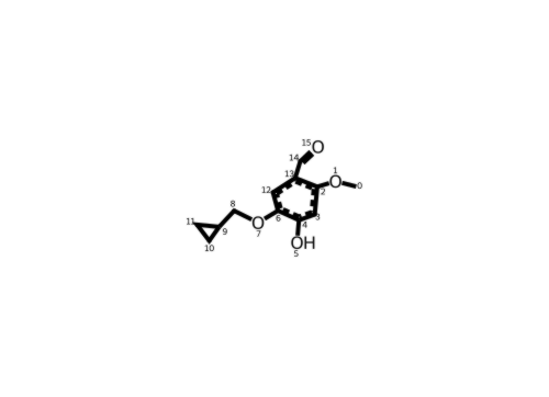 COc1cc(O)c(OCC2CC2)cc1C=O